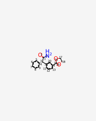 NC(=O)[C@@H](c1ccccc1)c1cccc(C2OCCO2)c1